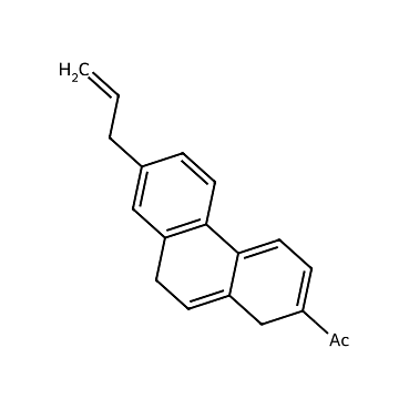 C=CCc1ccc2c(c1)CC=C1CC(C(C)=O)=CC=C12